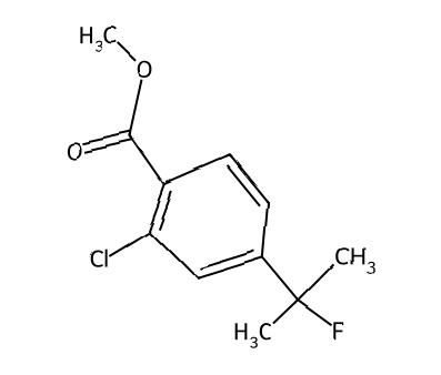 COC(=O)c1ccc(C(C)(C)F)cc1Cl